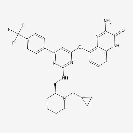 Nc1nc2c(Oc3cc(-c4ccc(C(F)(F)F)cc4)nc(NC[C@@H]4CCCCN4CC4CC4)n3)cccc2[nH]c1=O